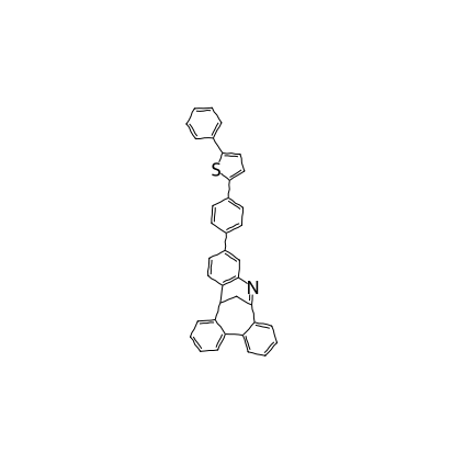 c1ccc(-c2ccc(-c3ccc(-c4ccc5c(c4)N=C4CC5c5ccccc5-c5ccccc54)cc3)s2)cc1